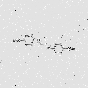 COc1ccc(PCCPc2ccc(OC)cc2)cc1